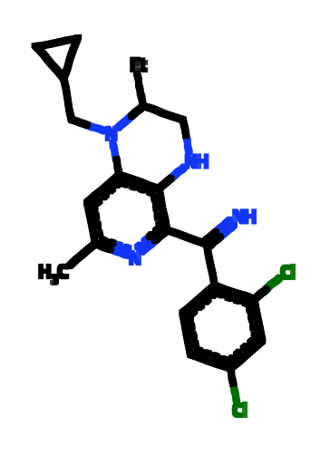 CCC1CNc2c(cc(C)nc2C(=N)c2ccc(Cl)cc2Cl)N1CC1CC1